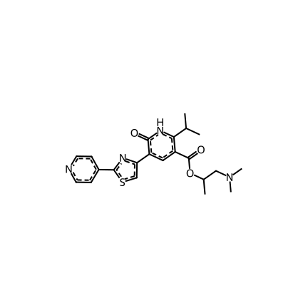 CC(CN(C)C)OC(=O)c1cc(-c2csc(-c3ccncc3)n2)c(=O)[nH]c1C(C)C